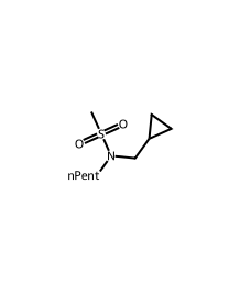 CCCCCN(CC1CC1)S(C)(=O)=O